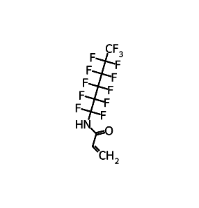 C=CC(=O)NC(F)(F)C(F)(F)C(F)(F)C(F)(F)C(F)(F)C(F)(F)F